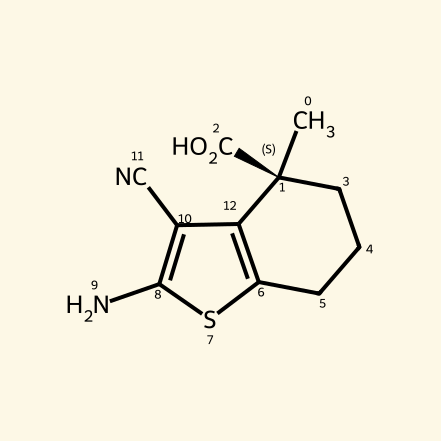 C[C@]1(C(=O)O)CCCc2sc(N)c(C#N)c21